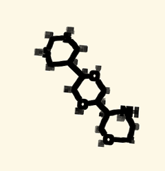 C1COCC(C2COC(C3CSCSC3)CO2)N1